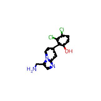 NCc1cnc2cc(-c3c(O)ccc(Cl)c3Cl)ccn12